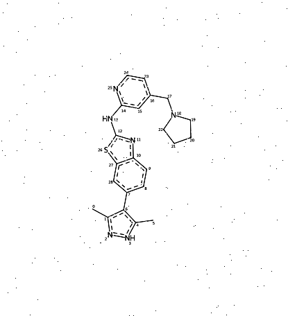 Cc1n[nH]c(C)c1-c1ccc2nc(Nc3cc(CN4CCCC4)ccn3)sc2c1